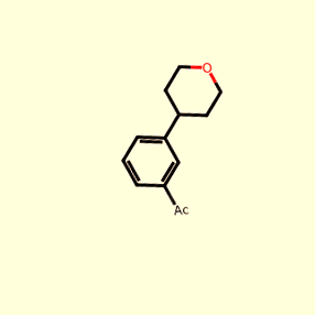 CC(=O)c1cccc(C2CCOCC2)c1